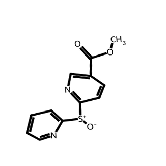 COC(=O)c1ccc([S+]([O-])c2ccccn2)nc1